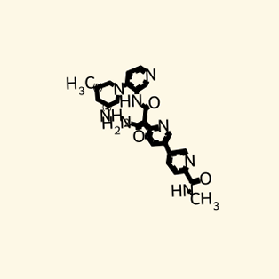 CNC(=O)c1ccc(-c2cnc3c(C(=O)Nc4cnccc4N4C[C@H](C)C[C@H](N)C4)c(N)oc3c2)cn1